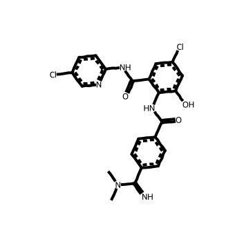 CN(C)C(=N)c1ccc(C(=O)Nc2c(O)cc(Cl)cc2C(=O)Nc2ccc(Cl)cn2)cc1